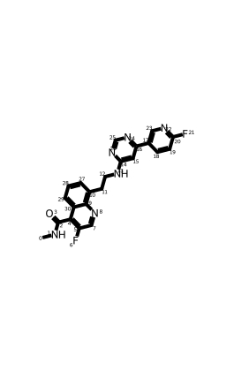 CNC(=O)c1c(F)cnc2c(CCNc3cc(-c4ccc(F)nc4)ncn3)cccc12